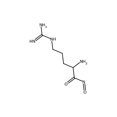 N=C(N)NCCCC(N)C(=O)N=O